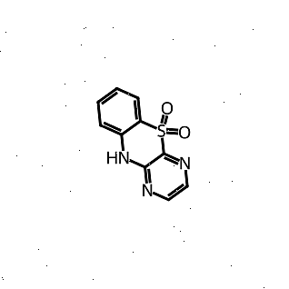 O=S1(=O)c2ccccc2Nc2nccnc21